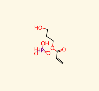 C=CC(=O)OCCCO.O=[PH](O)O